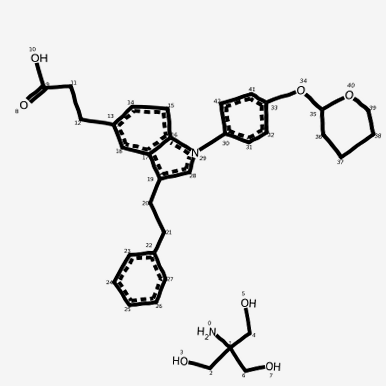 NC(CO)(CO)CO.O=C(O)CCc1ccc2c(c1)c(CCc1ccccc1)cn2-c1ccc(OC2CCCCO2)cc1